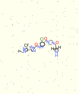 Cn1c(-c2cn(CC3CC3)nc2C(F)(F)F)cnc1C(=O)Nc1ccc(C(=O)N2CCN(C(=O)C3[C@H]4CNC[C@@H]34)CC2)c(Cl)c1